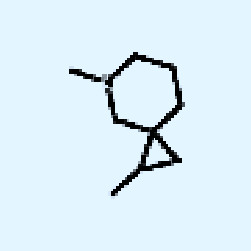 CC1CC12CCCN(C)C2